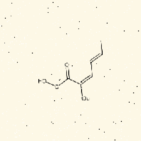 CC=CC=C(C(=O)OO)C(C)(C)C